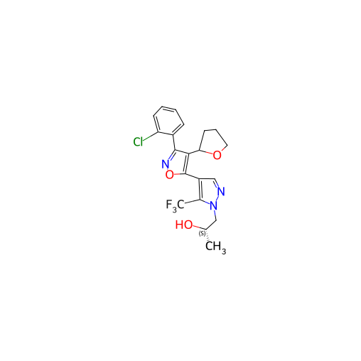 C[C@H](O)Cn1ncc(-c2onc(-c3ccccc3Cl)c2C2CCCO2)c1C(F)(F)F